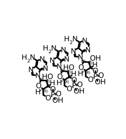 Nc1ncnc2c1ncn2[C@@H]1O[C@@H]2COP(=O)(O)O[C@H]2[C@H]1O.Nc1ncnc2c1ncn2[C@@H]1O[C@@H]2COP(=O)(O)O[C@H]2[C@H]1O.Nc1ncnc2c1ncn2[C@@H]1O[C@@H]2COP(=O)(O)O[C@H]2[C@H]1O